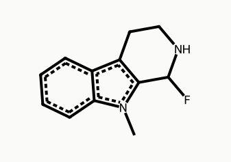 Cn1c2c(c3ccccc31)CCNC2F